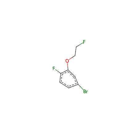 FCCOc1cc(Br)ccc1F